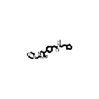 O=C(Cc1ccc(-c2cnc(CN3CCOCC3)nc2F)cc1)NCCC1CCCC1